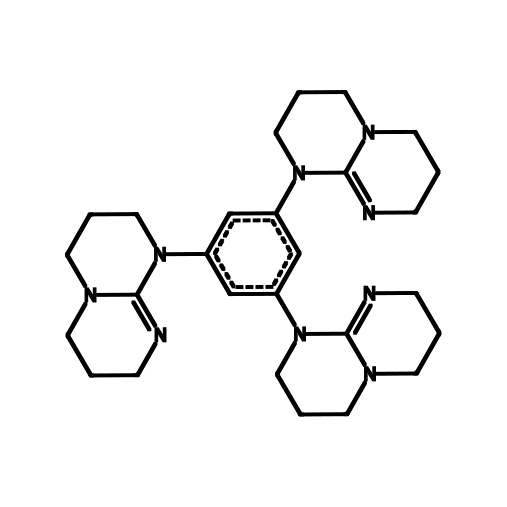 c1c(N2CCCN3CCCN=C32)cc(N2CCCN3CCCN=C32)cc1N1CCCN2CCCN=C21